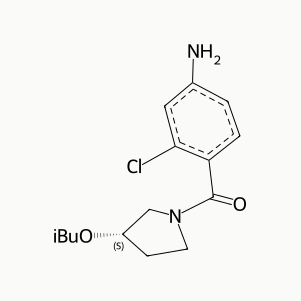 CC(C)CO[C@H]1CCN(C(=O)c2ccc(N)cc2Cl)C1